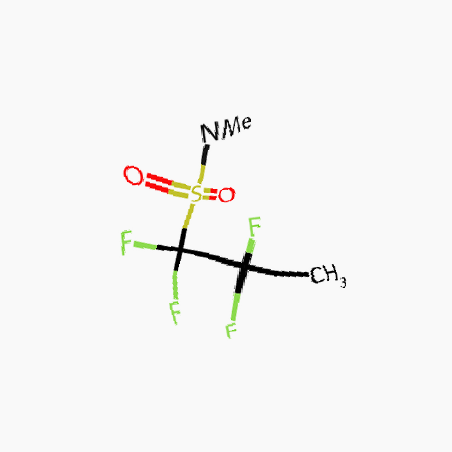 CNS(=O)(=O)C(F)(F)C(C)(F)F